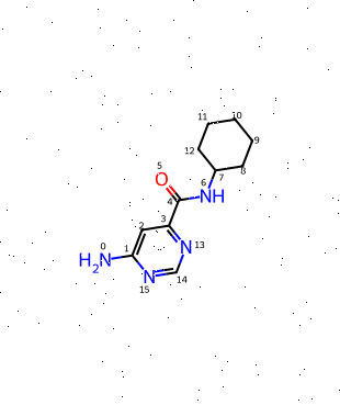 Nc1cc(C(=O)NC2CCCCC2)ncn1